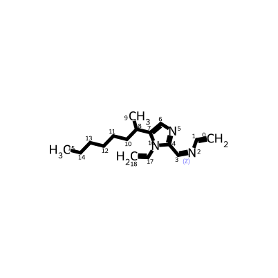 C=C/N=C\c1ncc(C(C)CCCCCC)n1C=C